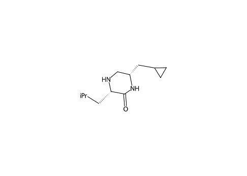 CC(C)C[C@@H]1NC[C@H](CC2CC2)NC1=O